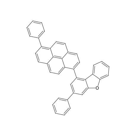 c1ccc(-c2cc(-c3ccc4ccc5c(-c6ccccc6)ccc6ccc3c4c65)c3c(c2)oc2ccccc23)cc1